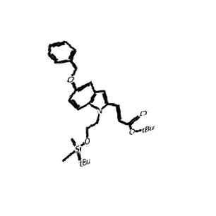 CC(C)(C)OC(=O)/C=C/c1cc2cc(OCc3ccccc3)ccc2n1CCO[Si](C)(C)C(C)(C)C